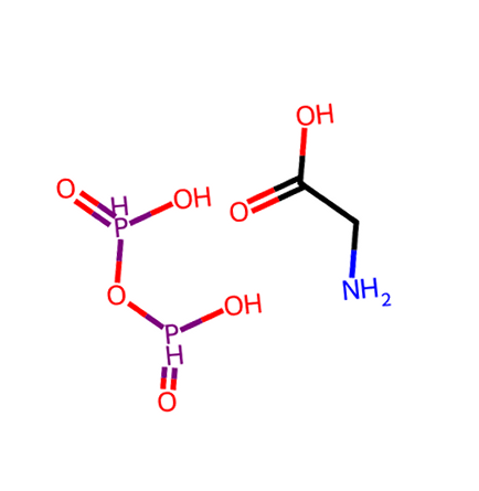 NCC(=O)O.O=[PH](O)O[PH](=O)O